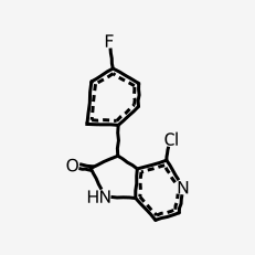 O=C1Nc2ccnc(Cl)c2C1c1ccc(F)cc1